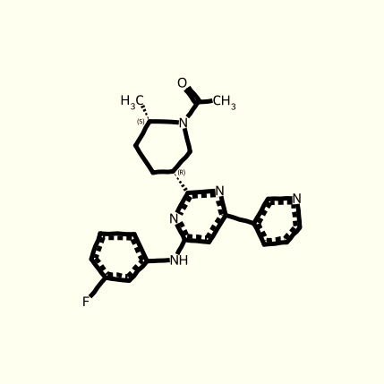 CC(=O)N1C[C@H](c2nc(Nc3cccc(F)c3)cc(-c3cccnc3)n2)CC[C@@H]1C